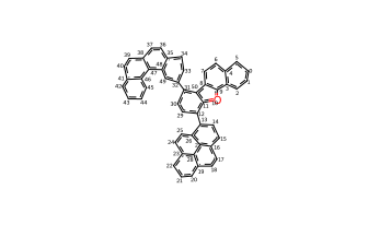 c1ccc2c(c1)ccc1c2oc2c(-c3ccc4ccc5cccc6ccc3c4c56)ccc(-c3ccc4ccc5ccc6ccccc6c5c4c3)c21